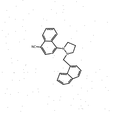 N#Cc1ccc(N2CCCN2Cc2cccc3ccccc23)c2ccccc12